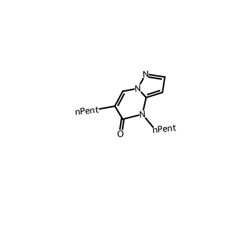 CCCCCc1cn2nccc2n(CCCCC)c1=O